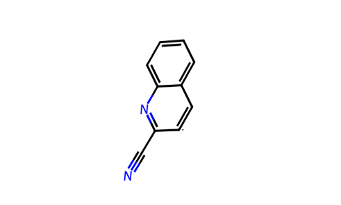 N#Cc1[c]cc2ccccc2n1